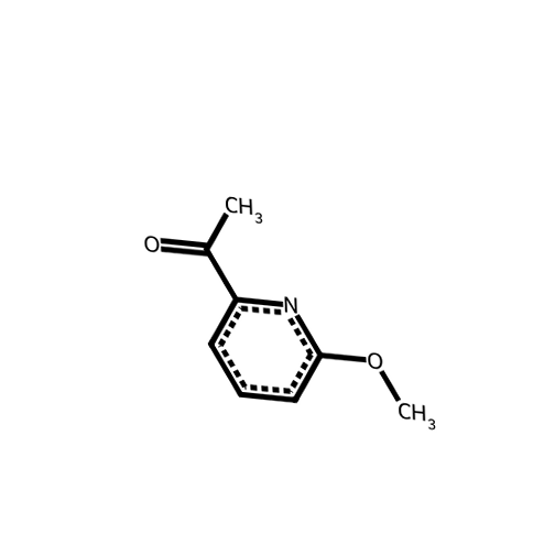 COc1cccc(C(C)=O)n1